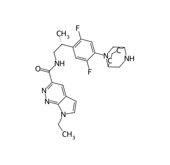 CCn1ccc2cc(C(=O)NC[C@H](C)c3cc(F)c(N4CC5CCCC4CN5)cc3F)nnc21